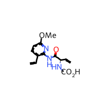 C=Cc1ccc(OC)nc1NC(=O)[C@H](C=C)NC(=O)O